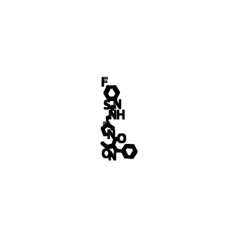 Cc1onc(-c2ccccc2)c1C(=O)N1CC[C@@H](CNc2nc3ccc(F)cc3s2)C1